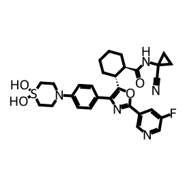 N#CC1(NC(=O)[C@@H]2CCCC[C@H]2c2oc(-c3cncc(F)c3)nc2-c2ccc(N3CCS(O)(O)CC3)cc2)CC1